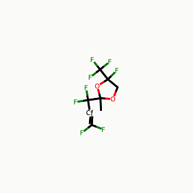 CC1([C](F)(F)[Cf]=[C](F)F)OCC(F)(C(F)(F)F)O1